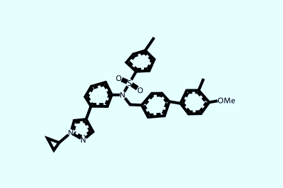 COc1ccc(-c2ccc(CN(c3cccc(-c4cnn(C5CC5)c4)c3)S(=O)(=O)c3ccc(C)cc3)cc2)cc1C